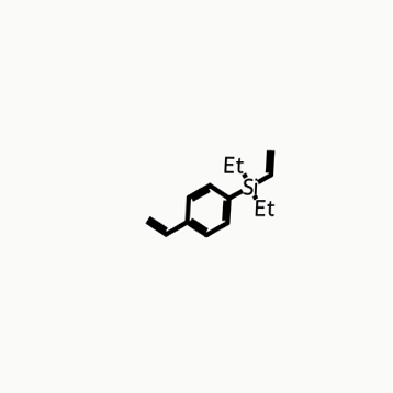 C=Cc1ccc([Si](C=C)(CC)CC)cc1